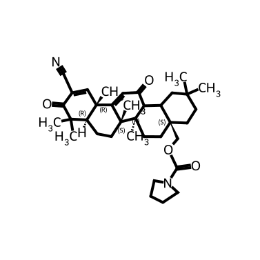 CC1(C)CC[C@]2(COC(=O)N3CCCC3)CC[C@]3(C)C(C(=O)C=C4[C@@]5(C)C=C(C#N)C(=O)C(C)(C)[C@@H]5CC[C@]43C)C2C1